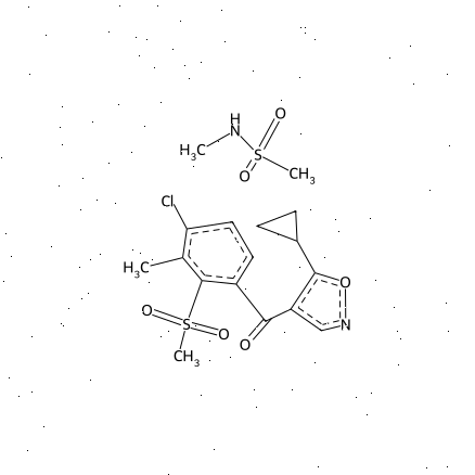 CNS(C)(=O)=O.Cc1c(Cl)ccc(C(=O)c2cnoc2C2CC2)c1S(C)(=O)=O